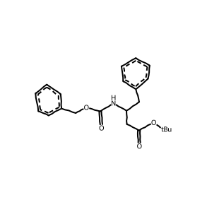 CC(C)(C)OC(=O)CC(Cc1ccccc1)NC(=O)OCc1ccccc1